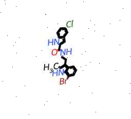 Cc1[nH]c2c(Br)cccc2c1CCNC(=O)c1cc2cc(Cl)ccc2[nH]1